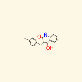 Cc1ccc(Cc2c(O)c3ccccc3n(C)c2=O)cc1